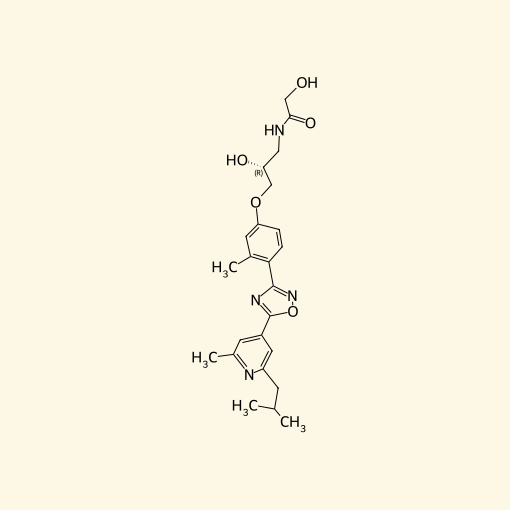 Cc1cc(-c2nc(-c3ccc(OC[C@H](O)CNC(=O)CO)cc3C)no2)cc(CC(C)C)n1